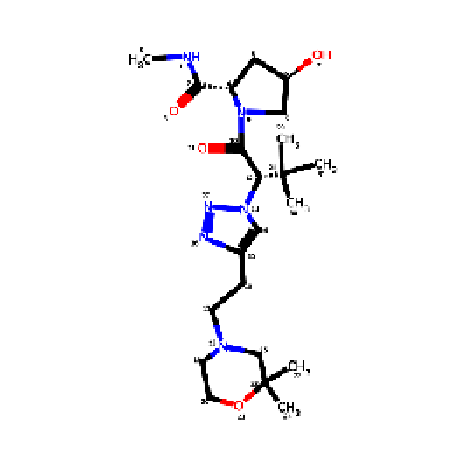 CNC(=O)[C@@H]1C[C@@H](O)CN1C(=O)[C@@H](n1cc(CCN2CCOC(C)(C)C2)nn1)C(C)(C)C